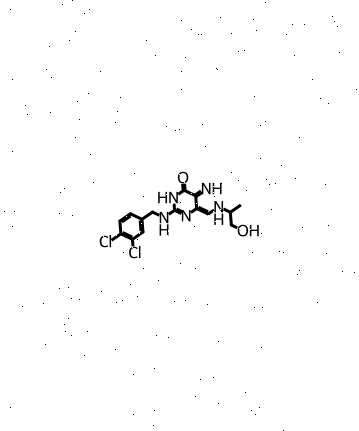 CC(CO)N/C=C1/N=C(NCc2ccc(Cl)c(Cl)c2)NC(=O)C1=N